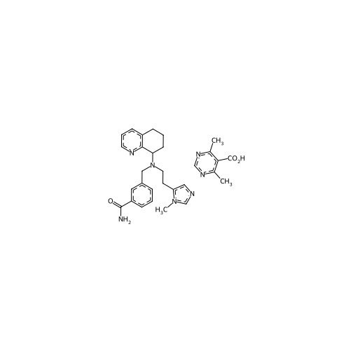 Cc1ncnc(C)c1C(=O)O.Cn1cncc1CCN(Cc1cccc(C(N)=O)c1)C1CCCc2cccnc21